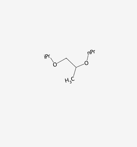 CCCOC(C)COC(C)C